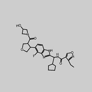 CCc1nocc1C(=O)NC(c1nc2c(F)c(C3COCC3C(=O)N3CC(O)C3)ccc2[nH]1)C1CCCC1